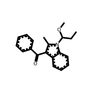 CCC(OC)n1c(C)c(C(=O)c2ccccc2)c2ccccc21